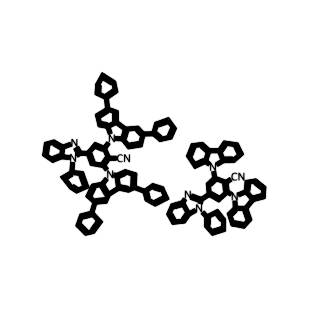 N#Cc1c(-n2c3ccc(-c4ccccc4)cc3c3cc(-c4ccccc4)ccc32)cc(-c2nc3ccccc3n2-c2ccccc2)cc1-n1c2ccc(-c3ccccc3)cc2c2cc(-c3ccccc3)ccc21.N#Cc1c(-n2c3ccccc3c3ccccc32)cc(-c2nc3ccccc3n2-c2ccccc2)cc1-n1c2ccccc2c2ccccc21